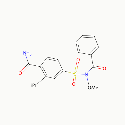 CON(C(=O)c1ccccc1)S(=O)(=O)c1ccc(C(N)=O)c(C(C)C)c1